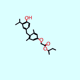 CCC(C)OC(=O)COc1cc(C)c(Cc2ccc(O)c(C(C)C)c2)c(C)c1